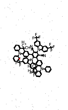 CC1(C)c2ccccc2N(c2ccccc2)c2ccc(-c3c(C#N)c(-n4c5ccc(C(F)(F)F)cc5c5cc(C(F)(F)F)ccc54)c(C#N)c(-c4ccc5c(c4)C(C)(C)c4ccccc4N5c4ccccc4)c3-n3c4ccc(C(F)(F)F)cc4c4cc(C(F)(F)F)ccc43)cc21